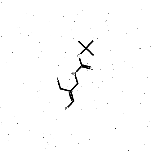 CC(C)(C)OC(=O)NC/C(=C/F)CI